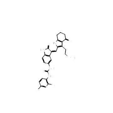 O=C(O)CCc1c(C=C2C(=O)Nc3ccc(NC(=O)Nc4ccc(Cl)cc4Cl)cc32)[nH]c2c1C(=O)CCC2